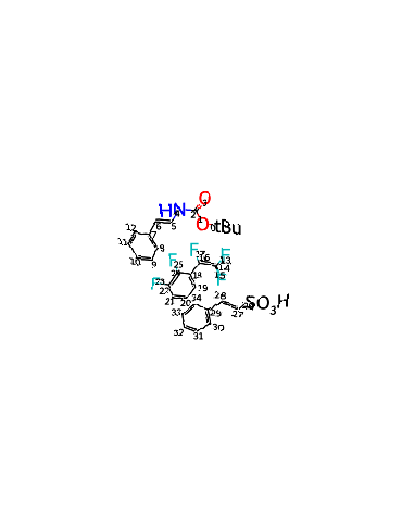 CC(C)(C)OC(=O)NC=Cc1ccccc1.FC(F)=C(F)c1cccc(F)c1F.O=S(=O)(O)C=Cc1ccccc1